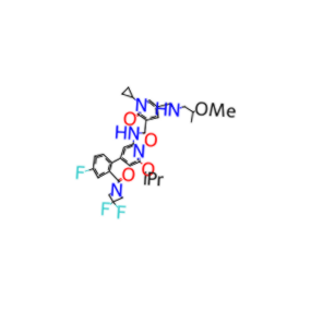 CO[C@@H](C)CNCc1cc(C(=O)Nc2cc(-c3ccc(F)cc3C(=O)N3CC(F)(F)C3)cc(OC(C)C)n2)c(=O)n(C2CC2)c1